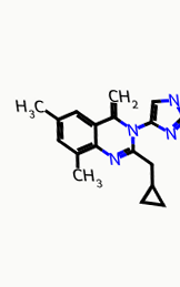 C=C1c2cc(C)cc(C)c2N=C(CC2CC2)N1c1c[nH]cn1